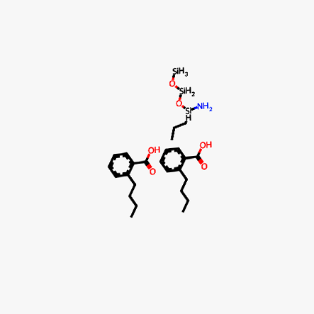 CCCCc1ccccc1C(=O)O.CCCCc1ccccc1C(=O)O.CCC[SiH](N)O[SiH2]O[SiH3]